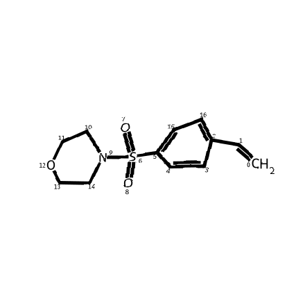 C=Cc1ccc(S(=O)(=O)N2CCOCC2)cc1